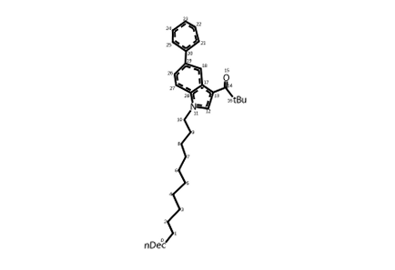 CCCCCCCCCCCCCCCCCCCCn1cc(C(=O)C(C)(C)C)c2cc(-c3ccccc3)ccc21